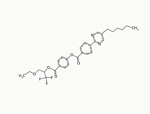 CCCCCCc1cnc(-c2ccc(C(=O)Oc3ccc(C(=O)OC(COCC)C(F)(F)F)cc3)cc2)nc1